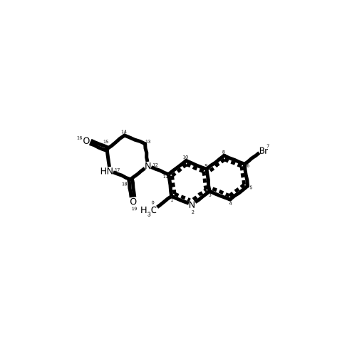 Cc1nc2ccc(Br)cc2cc1N1CCC(=O)NC1=O